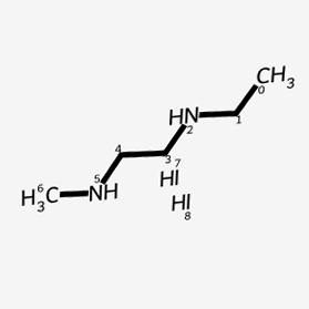 CCNCCNC.I.I